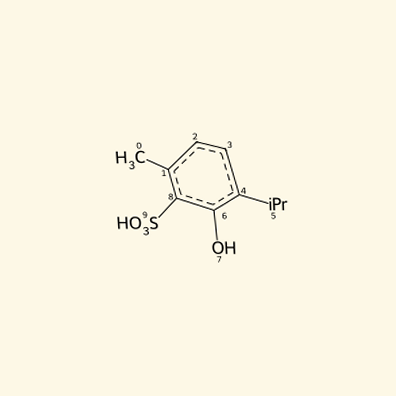 Cc1ccc(C(C)C)c(O)c1S(=O)(=O)O